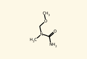 COCN(C)C(N)=O